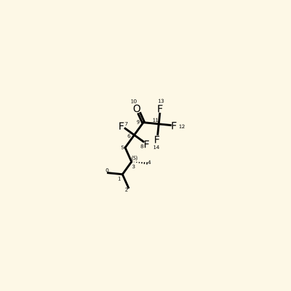 CC(C)[C@@H](C)CC(F)(F)C(=O)C(F)(F)F